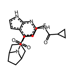 O=C(Nc1cc(C2CC3CCC(C2)N3S(=O)(=O)CCCF)c2cc[nH]c2n1)C1CC1